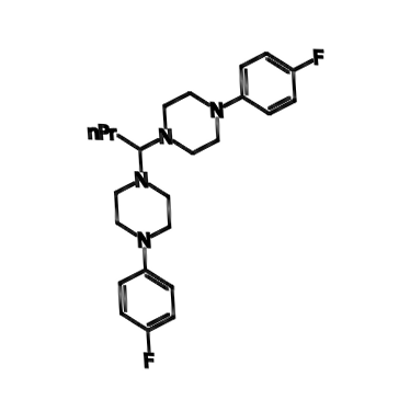 CCCC(N1CCN(c2ccc(F)cc2)CC1)N1CCN(c2ccc(F)cc2)CC1